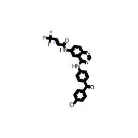 O=C(/C=C/C(F)(F)F)Nc1ccc2ncnc(Nc3ccc(C(=O)c4ccc(Cl)cc4)cc3)c2c1